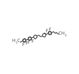 CCCCCc1ccc(C2=CCC(CCC3CCC(c4ccc(-c5ccc(CC)c(F)c5F)c(F)c4F)CC3)CC2)c(F)c1F